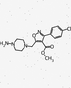 COC(=O)c1c(-c2ccc(Cl)cc2)noc1CN1CCN(N)CC1